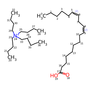 CCCCC/C=C\C/C=C\CCCCCCCC(=O)O.CCCC[N+](CCCC)(CCCC)CCCC